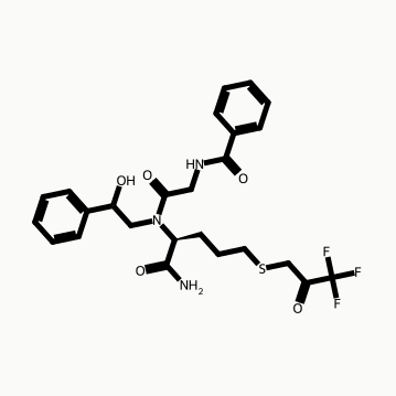 NC(=O)[C@H](CCCSCC(=O)C(F)(F)F)N(CC(O)c1ccccc1)C(=O)CNC(=O)c1ccccc1